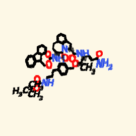 C[C@@H](OCc1ccc(CCCNC(=O)OC(C)(C)C)cc1)[C@H](CCC(N)=O)NC(=O)[C@@H]1Cc2cccc3c2N1C(=O)[C@@H](NC(=O)OCC1c2ccccc2-c2ccccc21)CC3